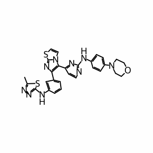 Cc1nnc(Nc2cccc(-c3nc4sccn4c3-c3ccnc(Nc4ccc(N5CCOCC5)cc4)n3)c2)s1